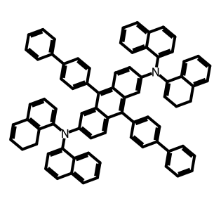 C1=Cc2cccc(N(c3ccc4c(-c5ccc(-c6ccccc6)cc5)c5cc(N(C6=CCCc7ccccc76)c6cccc7ccccc67)ccc5c(-c5ccc(-c6ccccc6)cc5)c4c3)c3cccc4ccccc34)c2CC1